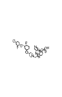 CCn1cncc1Cn1c(CN2CCC(Oc3ccc(F)c(COc4ccc(Cl)cc4F)c3)CC2)nc2ccc(CC(=O)O)nc21